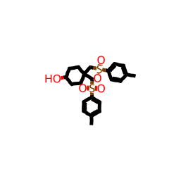 Cc1ccc(S(=O)(=O)CC2(CS(=O)(=O)c3ccc(C)cc3)CCC(O)CC2)cc1